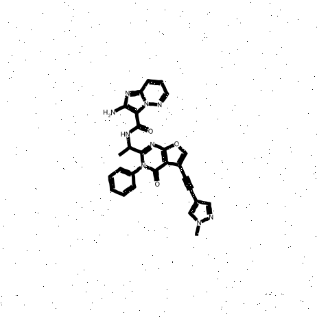 CC(NC(=O)c1c(N)nc2cccnn12)c1nc2occ(C#Cc3cnn(C)c3)c2c(=O)n1-c1ccccc1